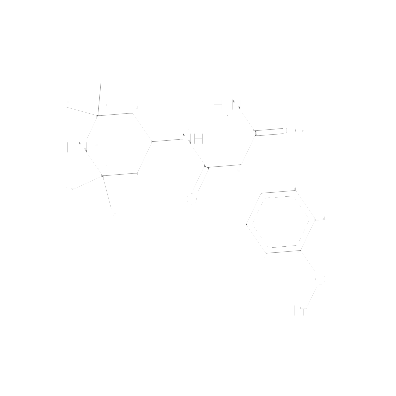 CC(C)Oc1ccc([C@@H](C(N)=O)C(=O)NC2CC(C)(C)NC(C)(C)C2)cc1